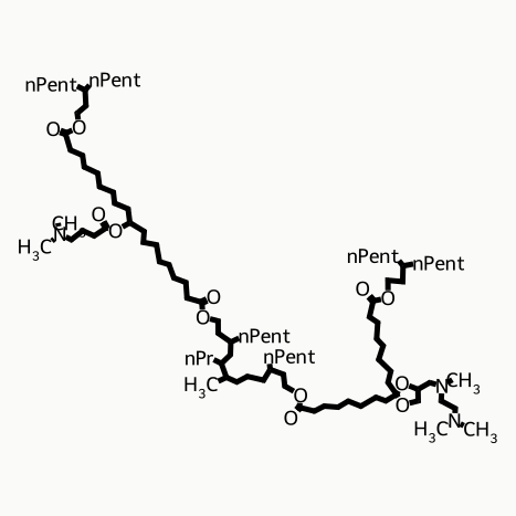 CCCCCC(CCCCC)CCOC(=O)CCCCCCCCC(CCCCCCCCC(=O)OCCC(CCCCC)CC(CCC)C(C)CCCC(CCCCC)CCOC(=O)CCCCCCCC1(CCCCCCCC(=O)OCCC(CCCCC)CCCCC)OCC(CN(C)CCN(C)C)O1)OC(=O)CCCN(C)C